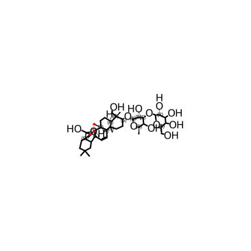 C[C@H]1O[C@@H](O[C@H]2CC[C@@]3(C)[C@@H](CC[C@]4(C)[C@@H]3C=C[C@]35OC[C@@]6(CCC(C)(C)CC63)C(O)C[C@]54C)[C@]2(C)CO)[C@H](O)[C@@H](OC2O[C@H](CO)C(O)C(O)[C@H]2O)C1O